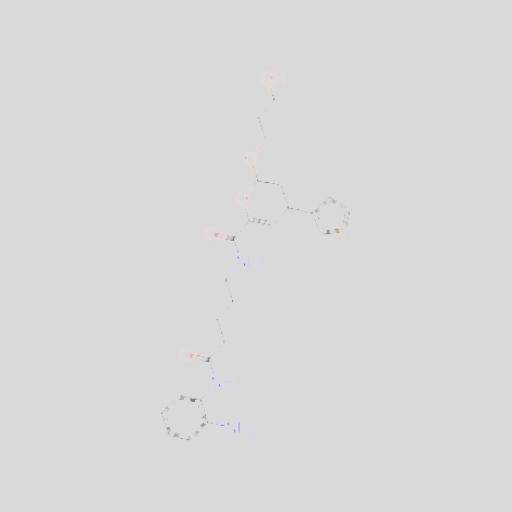 Nc1ccccc1NC(=O)CCCCNC(=O)C1=CC(c2ccsc2)CC(OCCCO)O1